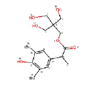 CC(C(=O)OCC(CO)(CO)CO)c1cc(C(C)(C)C)c(O)c(C(C)(C)C)c1